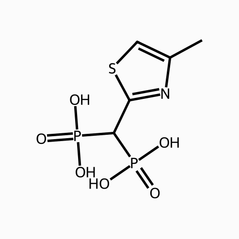 Cc1csc(C(P(=O)(O)O)P(=O)(O)O)n1